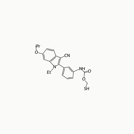 CCn1c(-c2cccc(NC(=O)OCS)c2)c(C#N)c2ccc(OC(C)C)cc21